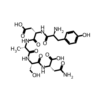 C[C@H](NC(=O)[C@H](CC(=O)O)NC(=O)[C@@H](N)Cc1ccc(O)cc1)C(=O)N[C@@H](CO)C(=O)N[C@@H](CC(N)=O)C(=O)O